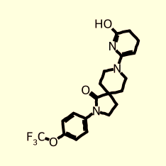 O=C1N(c2ccc(OC(F)(F)F)cc2)CCC12CCN(C1=CCCC(O)=N1)CC2